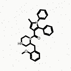 COc1ccccc1CC1CNCCN1C(=O)c1cc(C)n(-c2ccccc2)c1-c1ccccc1